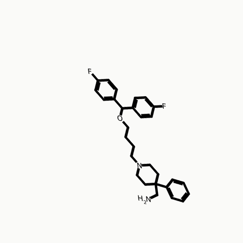 NCC1(c2ccccc2)CCN(CCCCOC(c2ccc(F)cc2)c2ccc(F)cc2)CC1